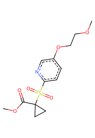 COCCOc1ccc(S(=O)(=O)C2(C(=O)OC)CC2)nc1